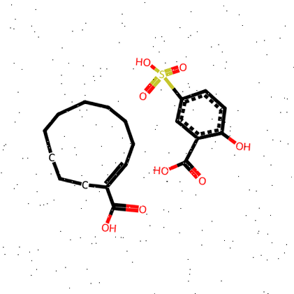 O=C(O)/C1=C/CCCCCCCCC1.O=C(O)c1cc(S(=O)(=O)O)ccc1O